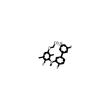 Cc1cc(OCC(=O)O)c(C)c(N(C)c2cc(-c3cccc(F)c3)ccc2F)c1F